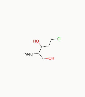 COC(CO)C(O)CCCl